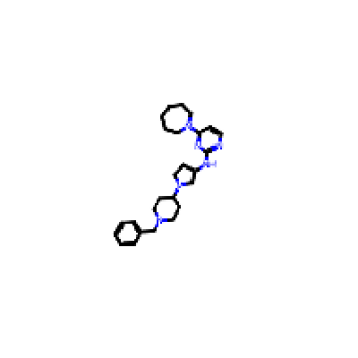 c1ccc(CN2CCC(N3CCC(Nc4nccc(N5CCCCCC5)n4)C3)CC2)cc1